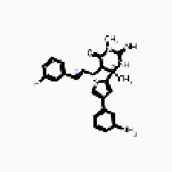 CN1C(=N)N[C@](C)(c2cc(-c3cccc(N)c3)cs2)C(C/C=C/c2cccc(F)c2)C1=O